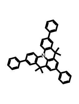 CC1(C)c2cc(-c3ccccc3)ccc2N2c3ccc(-c4ccccc4)cc3C(C)(C)c3cc(-c4ccccc4)cc1c32